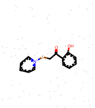 O=C(CS[n+]1ccccc1)c1ccccc1O